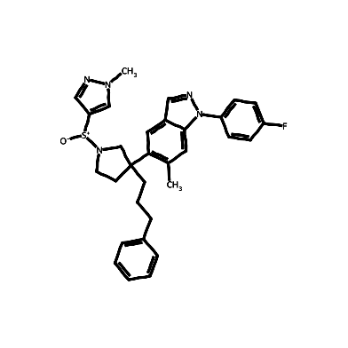 Cc1cc2c(cnn2-c2ccc(F)cc2)cc1C1(CCCc2ccccc2)CCN([S+]([O-])c2cnn(C)c2)C1